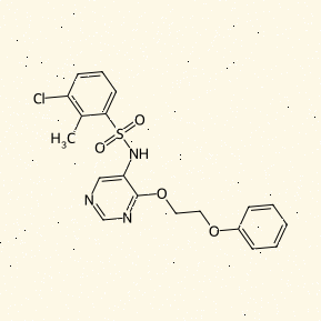 Cc1c(Cl)cccc1S(=O)(=O)Nc1cncnc1OCCOc1ccccc1